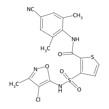 Cc1cc(C#N)cc(C)c1NC(=O)c1sccc1S(=O)(=O)Nc1onc(C)c1Cl